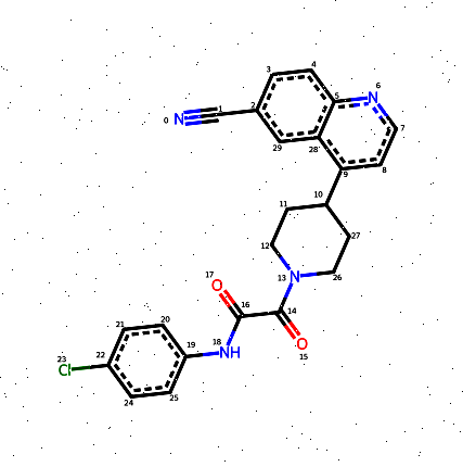 N#Cc1ccc2nccc(C3CCN(C(=O)C(=O)Nc4ccc(Cl)cc4)CC3)c2c1